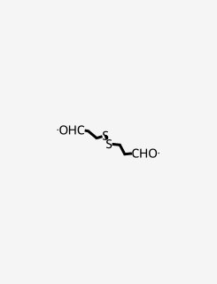 O=[C]CCSSCC[C]=O